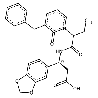 CCC(C(=O)N[C@@H](CC(=O)O)c1ccc2c(c1)OCO2)n1cccc(Cc2ccccc2)c1=O